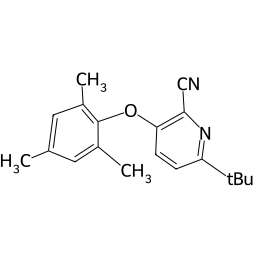 Cc1cc(C)c(Oc2ccc(C(C)(C)C)nc2C#N)c(C)c1